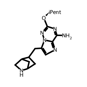 CCC[C@H](C)Oc1nc(N)c2ncc(CC3CC4CC3CN4)n2n1